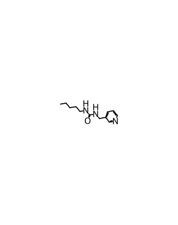 CCCCCNC(=O)NCc1cccnc1